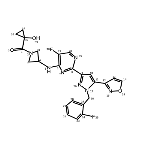 O=C(N1CC(Nc2nc(-c3cc(-c4ccon4)n(Cc4ccccc4F)n3)ncc2F)C1)C1(O)CC1